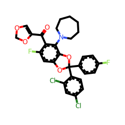 O=C(C1=COCO1)c1c(F)cc2c(c1N1CCCCCC1)OC(c1ccc(F)cc1)(c1ccc(Cl)cc1Cl)O2